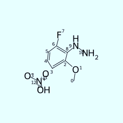 COc1cccc(F)c1NN.O=[N+]([O-])O